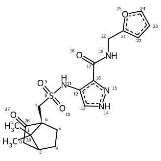 CC1(C)C2CC[C@@]1(CS(=O)(=O)Nc1c[nH]nc1C(=O)NCc1ccco1)C(=O)C2